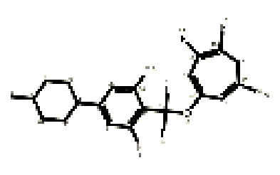 CC1CCC(c2cc(F)c(C(F)(F)OC3=CC(F)=C(F)CC(F)=C3)c(F)c2)CC1